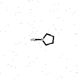 [SiH]N1CCCC1